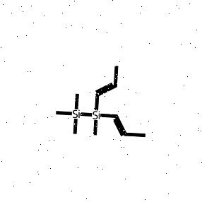 CC=C[Si](C)(C=CC)[Si](C)(C)C